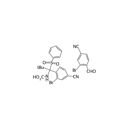 CC(C)(C)C(NC(=O)O)(c1ccc(C#N)cc1Br)S(=O)(=O)c1ccccc1.N#Cc1ccc(C=O)c(Br)c1